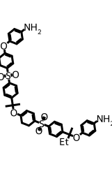 CCC(C)(Oc1ccc(N)cc1)c1ccc(S(=O)(=O)C2=CC=C(OC(C)(C)c3ccc(S(=O)(=O)C4=CC=C(Oc5ccc(N)cc5)CC4)cc3)CC2)cc1